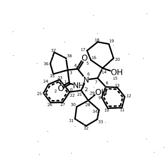 NC(=O)C1(C(=O)N(C(c2ccccc2)C2(O)CCCCC2)C(c2ccccc2)C2(O)CCCCC2)CCCC1